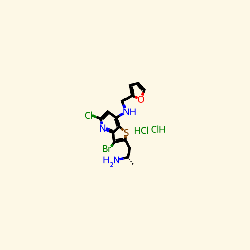 C[C@H](N)Cc1sc2c(NCc3ccco3)cc(Cl)nc2c1Br.Cl.Cl